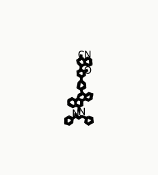 N#Cc1ccc2c3c(cccc13)Oc1cc(-c3ccc(-c4cc5c6ccccc6c(-c6nc(-c7ccccc7)cc(-c7ccccc7)n6)cc5c5ccccc45)cc3)ccc1-2